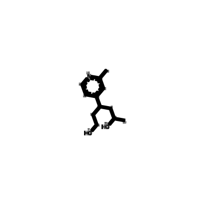 Cc1cc(C(CCO)CC(C)O)ccn1